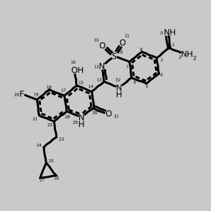 N=C(N)c1ccc2c(c1)S(=O)(=O)N=C(c1c(O)c3cc(F)cc(CCC4CC4)c3[nH]c1=O)N2